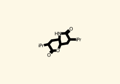 CC(C)C1CC2OC(=O)C(C(C)C)CC2NC1=O